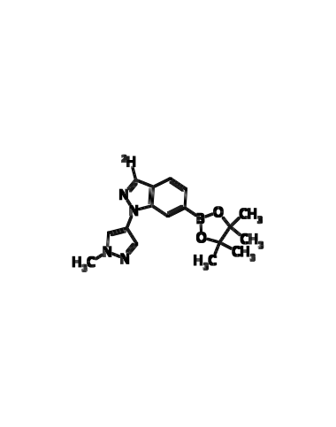 [2H]c1nn(-c2cnn(C)c2)c2cc(B3OC(C)(C)C(C)(C)O3)ccc12